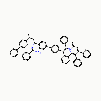 C=C1C=C(c2ccccc2)C(c2ccccc2)=C2C3=C(C=CCC3)C(c3ccc(-c4ccc(C(CC(C)C5C=CC(C6=CCCC=C6)=CC5)/N=C(\N)c5ccccc5)cc4)cc3)=C(c3ccccc3)N12